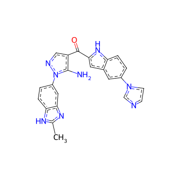 Cc1nc2cc(-n3ncc(C(=O)c4cc5cc(-n6ccnc6)ccc5[nH]4)c3N)ccc2[nH]1